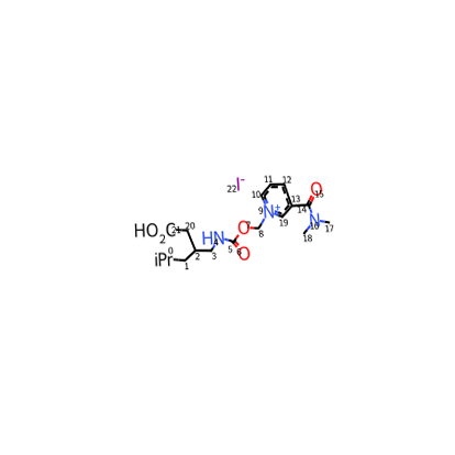 CC(C)CC(CNC(=O)OC[n+]1cccc(C(=O)N(C)C)c1)CC(=O)O.[I-]